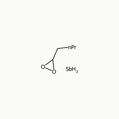 CCCCC1OO1.[SbH3]